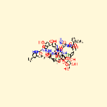 CN[C@H](CC(C)C)C(=O)N[C@H]1C(=O)N[C@@H](CC(N)=O)C(=O)NC2C(=O)N[C@H]3C(=O)N[C@H](C(=O)NC(C(=O)NCC(=O)Nc4ccc(C)cc4C)c4cc(O)cc(O)c4-c4cc3ccc4O)[C@H](O)c3ccc(c(Cl)c3)Oc3cc2cc(c3O[C@@H]2O[C@H](CO)[C@@H](O)[C@H](O)[C@H]2OC2C[C@](C)(N)[C@H](O)[C@H](C)O2)Oc2ccc(cc2Cl)[C@H]1O